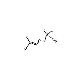 CC(C)(C)O.CC=C(C)C